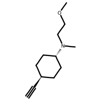 C#C[C@H]1CC[C@H](N(C)CCOC)CC1